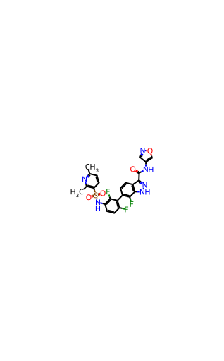 Cc1ccc(S(=O)(=O)Nc2ccc(F)c(-c3ccc4c(C(=O)Nc5cnoc5)n[nH]c4c3F)c2F)c(C)n1